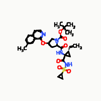 C=C[C@@H]1C[C@]1(NC(=O)C1C[C@@H](Oc2nccc3ccc(C)cc23)CN1C(=O)OC(C)(C)C)C(=O)NS(=O)(=O)C1CC1